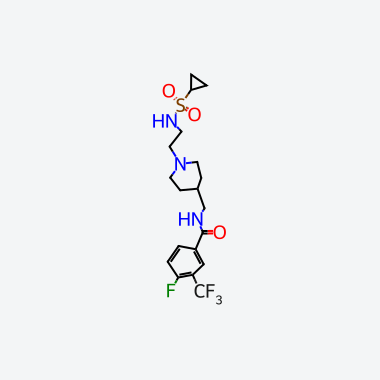 O=C(NCC1CCN(CCNS(=O)(=O)C2CC2)CC1)c1ccc(F)c(C(F)(F)F)c1